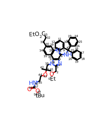 CCOCc1nc2c(NC(c3ccccc3)(c3ccccc3)c3ccccc3)nc3cc(CCC(=O)OCC)ccc3c2n1CC(C)(C)OCCNC(=O)OC(C)(C)C